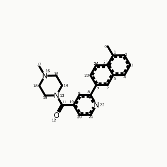 Cc1cccc2cc(-c3cc(C(=O)N4CCN(C)CC4)ccn3)ccc12